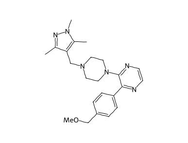 COCc1ccc(-c2nccnc2N2CCN(Cc3c(C)nn(C)c3C)CC2)cc1